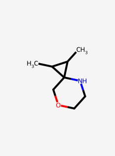 CC1C(C)C12COCCN2